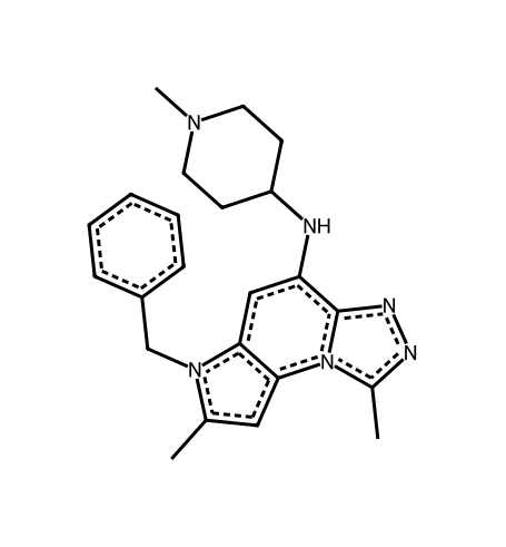 Cc1cc2c(cc(NC3CCN(C)CC3)c3nnc(C)n32)n1Cc1ccccc1